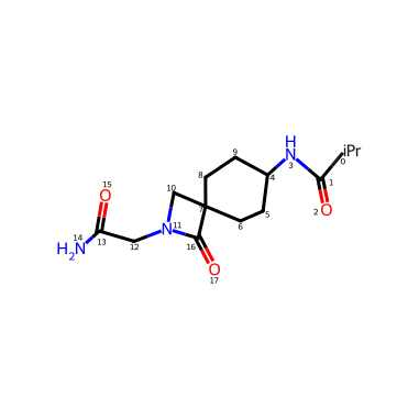 CC(C)C(=O)NC1CCC2(CC1)CN(CC(N)=O)C2=O